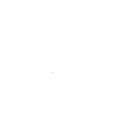 CN(C(=O)OCC1c2ccccc2-c2ccccc21)C(COCc1ccccc1)C(=O)NC1CCCc2ccccc21